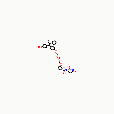 CC/C(=C(\c1ccc(O)cc1)c1ccc(OCCCOCCCOc2cccc3c2CN(C2CCC(=O)NC2=O)C3=O)cc1)c1ccccc1